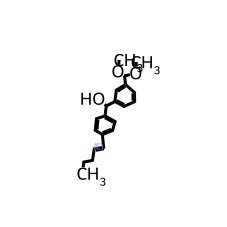 CCC/C=C/c1ccc(C(O)c2cccc(C(OC)OC)c2)cc1